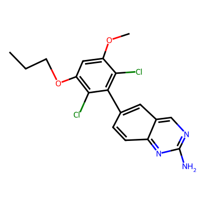 CCCOc1cc(OC)c(Cl)c(-c2ccc3nc(N)ncc3c2)c1Cl